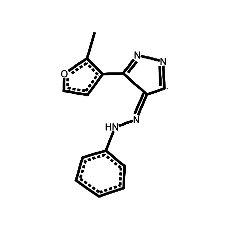 Cc1occc1C1=NN=[C]C1=NNc1ccccc1